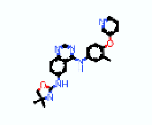 Cc1cc(Nc2ncnc3ccc(NC4=NC(C)(C)CO4)cc23)ccc1Oc1cccnc1